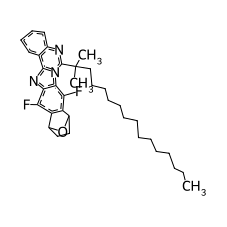 CCCCCCCCCCCCCCC(C)(C)c1nc2ccccc2c2nc3c(F)c4c(c(F)c3n12)C1CCC4O1